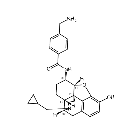 NCc1ccc(C(=O)N[C@@H]2CC[C@H]3[C@H]4Cc5ccc(O)c6c5[C@@]3(CCN4CC3CC3)[C@H]2O6)cc1